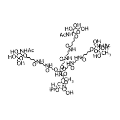 CC(=O)NC1C(OCCCCC(=O)NCCCNC(=O)CCOCC(COCCC(=O)NCCCNC(=O)CCCCOC2OC(CO)C(O)C(O)C2NC(C)=O)(COCCC(=O)NCCCNC(=O)CCCCOC(OC(CO)[C@@H](C)O)[C@H](CO)NC(C)=O)NC(=O)C(C)CC(C)C(=O)N2C[C@H](O)C[C@H]2COC(C)C)OC(CO)C(O)C1O